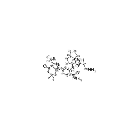 CC1(C)CC(=O)c2c(C(F)(F)F)nn(-c3ccc(C(N)=O)c(NC4CC[C]5CCCC5(NC(=O)CCN)C4)c3)c2C1